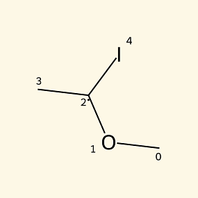 CO[C](C)I